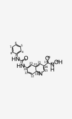 O=C(Nc1ccccc1)Nc1ccc2ncc(C(=O)NO)cc2c1